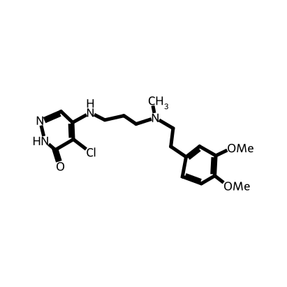 COc1ccc(CCN(C)CCCNc2cn[nH]c(=O)c2Cl)cc1OC